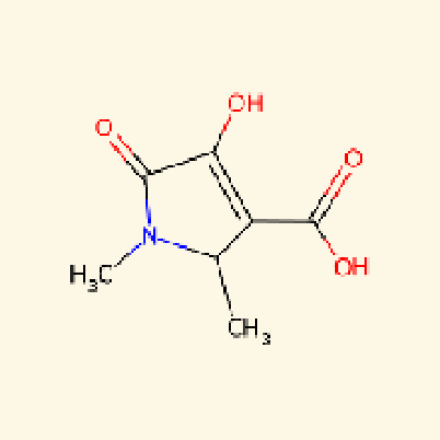 CC1C(C(=O)O)=C(O)C(=O)N1C